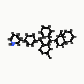 CC1C=Cc2c(c(C3=CC=C4C=CC=CC45CC35)c3ccccc3c2-c2ccc(-c3cccnc3)cc2)C1